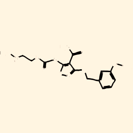 COc1cccc(CSc2nsc(NC(=O)NCCN(C)C)c2C(N)=O)c1